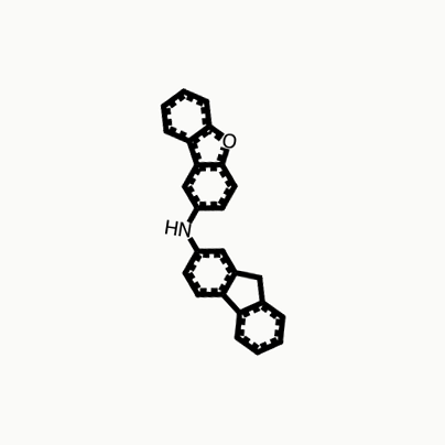 c1ccc2c(c1)Cc1cc(Nc3ccc4oc5ccccc5c4c3)ccc1-2